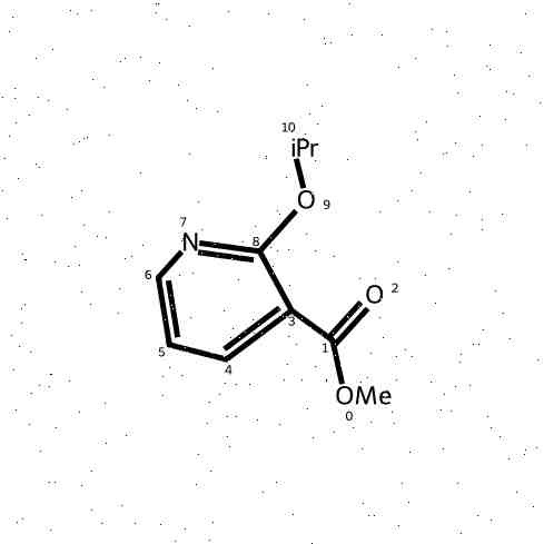 COC(=O)c1cccnc1OC(C)C